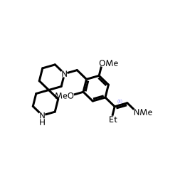 CC/C(=C\NC)c1cc(OC)c(CN2CCCC3(CCNCC3)C2)c(OC)c1